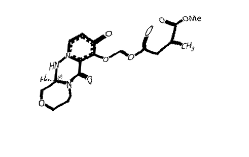 COC(=O)C(C)CC(=O)OCOc1c2n(ccc1=O)N[C@@H]1COCCN1C2=O